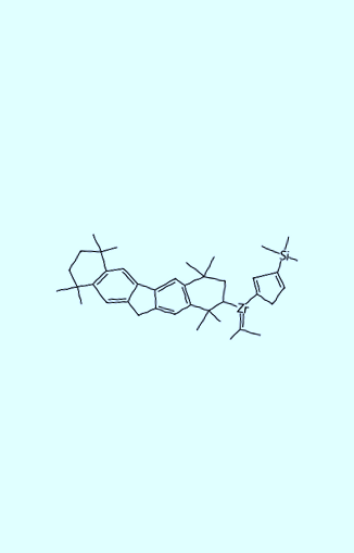 C[C](C)=[Zr]([C]1=CC([Si](C)(C)C)=CC1)[CH]1CC(C)(C)c2cc3c(cc2C1(C)C)Cc1cc2c(cc1-3)C(C)(C)CCC2(C)C